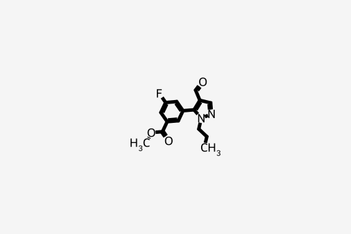 CCCn1ncc(C=O)c1-c1cc(F)cc(C(=O)OC)c1